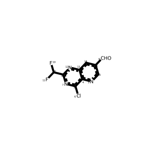 O=Cc1cnc2c(Cl)nc(C(F)F)nc2c1